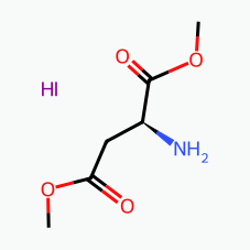 COC(=O)C[C@H](N)C(=O)OC.I